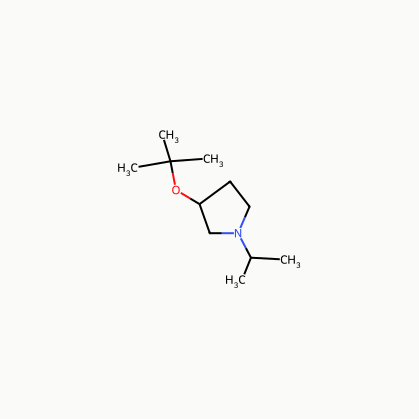 CC(C)N1CCC(OC(C)(C)C)C1